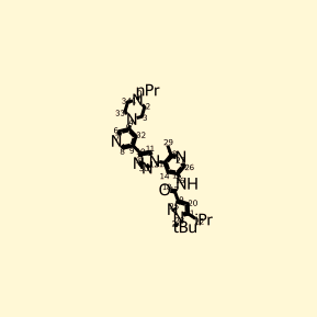 CCCN1CCN(c2cncc(-c3cn(-c4cc(NC(=O)c5cc(C(C)C)n(C(C)(C)C)n5)cnc4C)nn3)c2)CC1